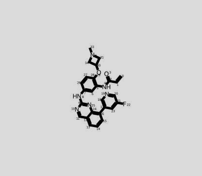 C=CC(=O)Nc1cc(Nc2ncc3cccc(-c4cncc(F)c4)c3n2)ccc1OC1CN(C)C1